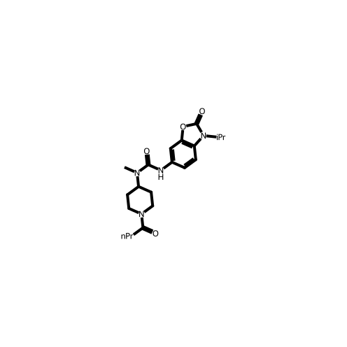 CCCC(=O)N1CCC(N(C)C(=O)Nc2ccc3c(c2)oc(=O)n3C(C)C)CC1